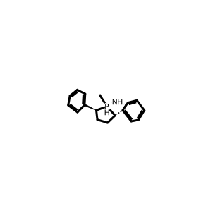 C[PH]1(N)[C@H](c2ccccc2)CC[C@H]1c1ccccc1